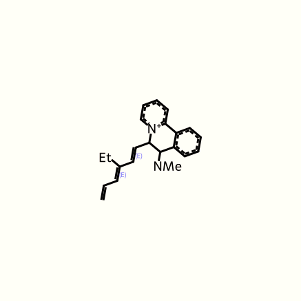 C=C/C=C(/C=C/C1C(NC)c2ccccc2-c2cccc[n+]21)CC